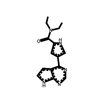 CCN(CC)C(=O)c1cc(-c2ncnc3[nH]ccc23)c[nH]1